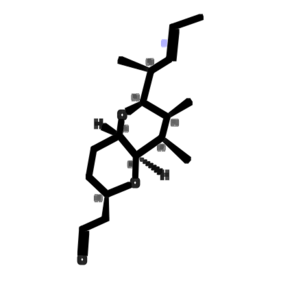 C/C=C/[C@H](C)[C@@H]1O[C@H]2CC[C@H](CC=O)O[C@@H]2[C@H](C)[C@@H]1C